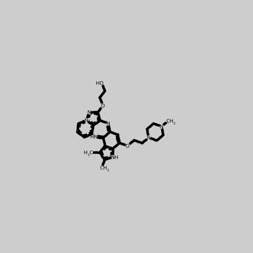 Cc1[nH]c2c(c1C)C(=N)/C(=N\c1c(OCCO)nn3ccccc13)C=C2OCCN1CCN(C)CC1